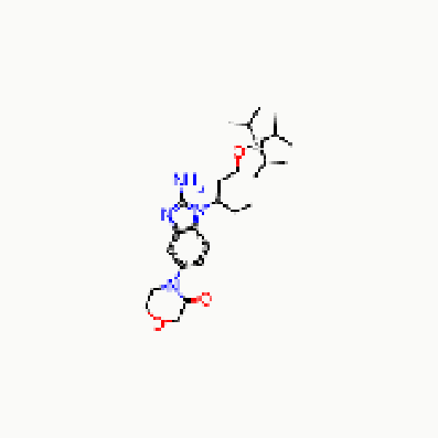 CCC(CCO[Si](C(C)C)(C(C)C)C(C)C)n1c(N)nc2cc(N3CCOCC3=O)ccc21